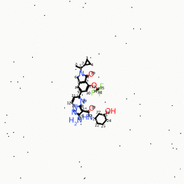 CC(C1CC1)N1Cc2cc(-c3ccn4nc(N)c(C(=O)N[C@H]5CCC[C@@H](O)C5)c4n3)cc(OC(F)(F)F)c2C1=O